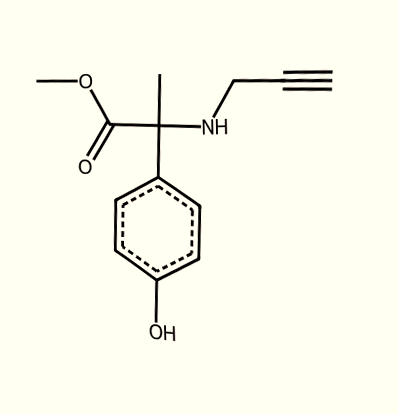 C#CCNC(C)(C(=O)OC)c1ccc(O)cc1